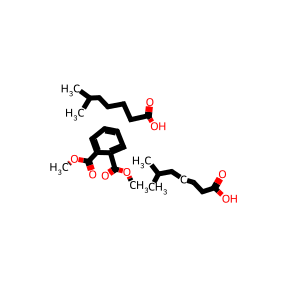 CC(C)CCCCC(=O)O.CC(C)CCCCC(=O)O.COC(=O)c1ccccc1C(=O)OC